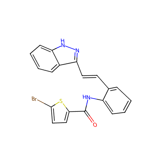 O=C(Nc1ccccc1/C=C/c1n[nH]c2ccccc12)c1ccc(Br)s1